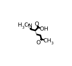 C/N=C/[C@@H](CCC(C)=O)C(=O)O